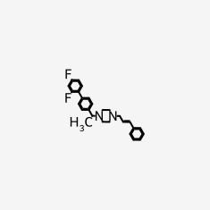 CC(c1ccc(-c2ccc(F)cc2F)cc1)N1CCN(CC=Cc2ccccc2)CC1